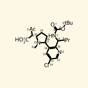 CC(=O)CC(=O)O.CC(C)C(NC(=O)OC(C)(C)C)c1ncc(Cl)cc1C1CCCN1C